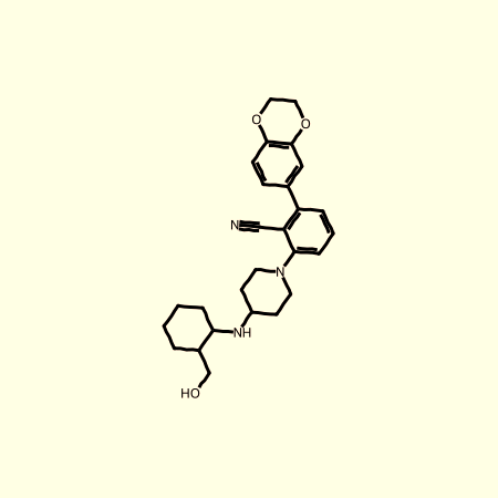 N#Cc1c(-c2ccc3c(c2)OCCO3)cccc1N1CCC(NC2CCCCC2CO)CC1